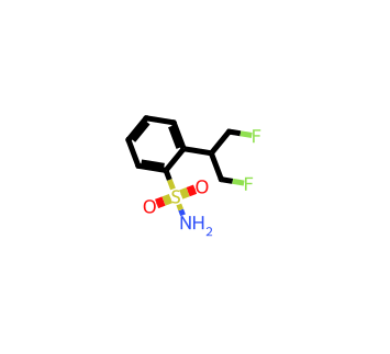 NS(=O)(=O)c1ccccc1C(CF)CF